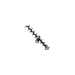 CCCCCCCCCOC(=O)CCCCCBr